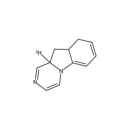 [2H]C12C=NC=CN1C1=CC=CCC1C2